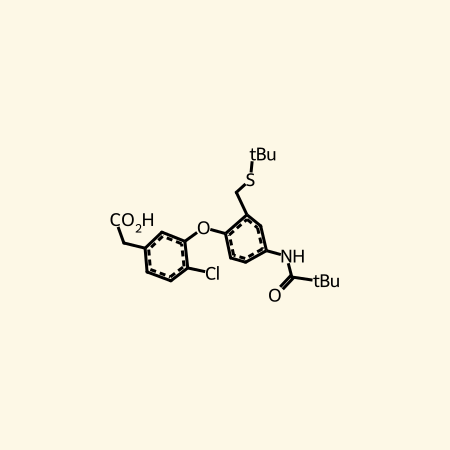 CC(C)(C)SCc1cc(NC(=O)C(C)(C)C)ccc1Oc1cc(CC(=O)O)ccc1Cl